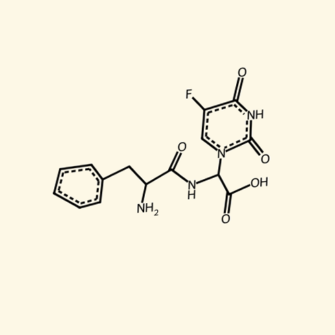 NC(Cc1ccccc1)C(=O)NC(C(=O)O)n1cc(F)c(=O)[nH]c1=O